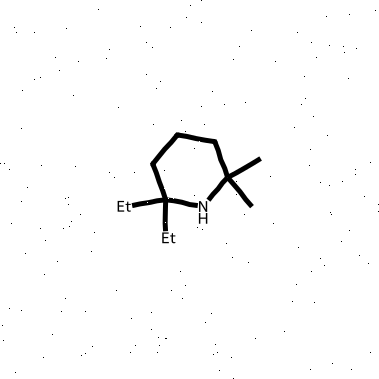 CCC1(CC)CCCC(C)(C)N1